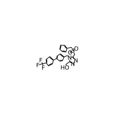 O=S(=O)(Cc1ccccc1)Cc1nnc(CO)n1Cc1ccc(-c2ccc(C(F)(F)F)cc2)cc1